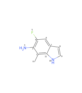 Cc1c(N)c(F)cc2cc[nH]c12